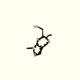 Cc1nc2cnn(C)c2nc1CO